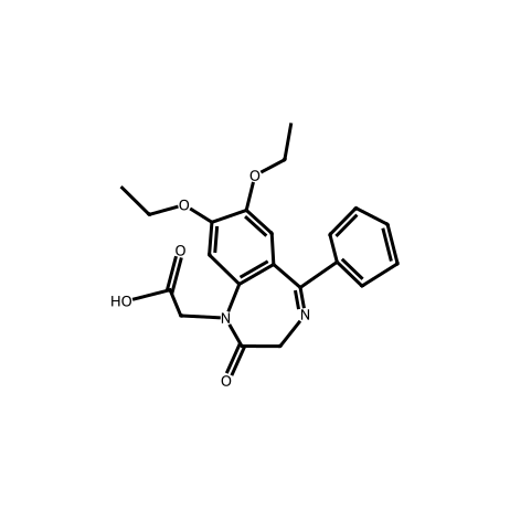 CCOc1cc2c(cc1OCC)N(CC(=O)O)C(=O)CN=C2c1ccccc1